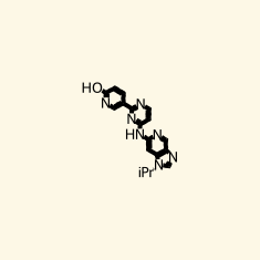 CC(C)n1cnc2cnc(Nc3ccnc(-c4ccc(O)nc4)n3)cc21